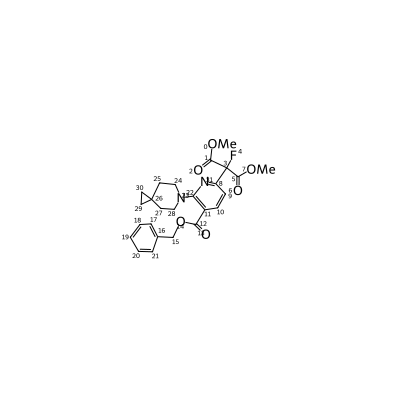 COC(=O)C(F)(C(=O)OC)c1ccc(C(=O)OCc2ccccc2)c(N2CCC3(CC2)CC3)n1